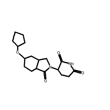 O=C1CCC(N2CC3CC(OC4CCCC4)CCC3C2=O)C(=O)N1